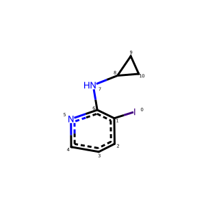 Ic1cccnc1NC1CC1